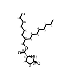 CCCCCCCCC(CCCCCC)COC(=O)[C@@H]1CCC(=O)N1